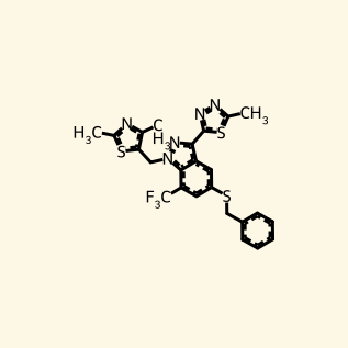 Cc1nnc(-c2nn(Cc3sc(C)nc3C)c3c(C(F)(F)F)cc(SCc4ccccc4)cc23)s1